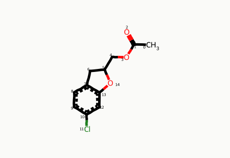 CC(=O)OCC1Cc2ccc(Cl)cc2O1